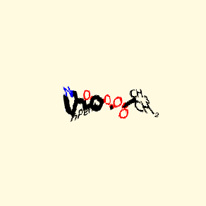 C=C(C)C(=O)OCOc1ccc2cc(-c3cnccc3CCCCC)oc2c1